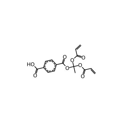 C=CC(=O)OC(C)(OC(=O)C=C)OC(=O)c1ccc(C(=O)O)cc1